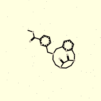 COC(=O)c1cccc(CN2CCN3CCN(Cc4cccc(n4)C2)C(=O)C3=O)n1